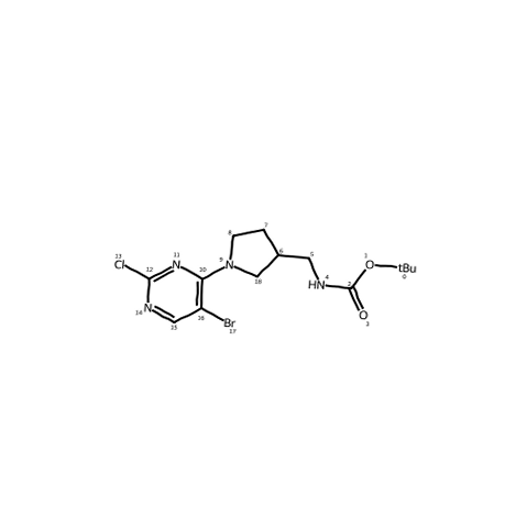 CC(C)(C)OC(=O)NCC1CCN(c2nc(Cl)ncc2Br)C1